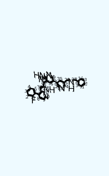 Fc1ccccc1-c1ccnc2[nH]c(-c3n[nH]c4ncc(-c5cncc(CNCc6ccccc6)c5)cc34)cc12